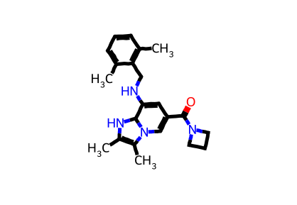 CC1=C(C)N2C=C(C(=O)N3CCC3)C=C(NCc3c(C)cccc3C)C2N1